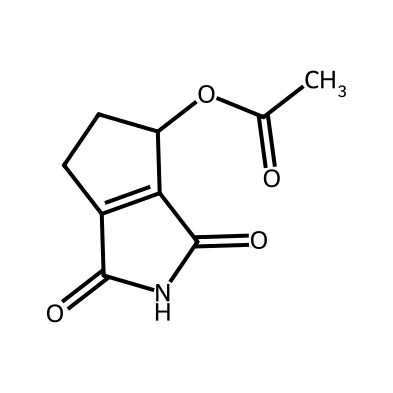 CC(=O)OC1CCC2=C1C(=O)NC2=O